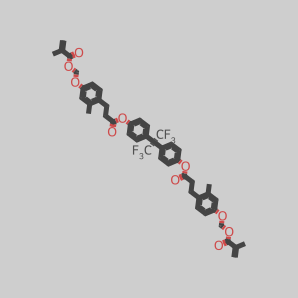 C=C(C)C(=O)OCOc1ccc(CCC(=O)Oc2ccc(C(c3ccc(OC(=O)CCc4ccc(OCOC(=O)C(=C)C)cc4C)cc3)(C(F)(F)F)C(F)(F)F)cc2)c(C)c1